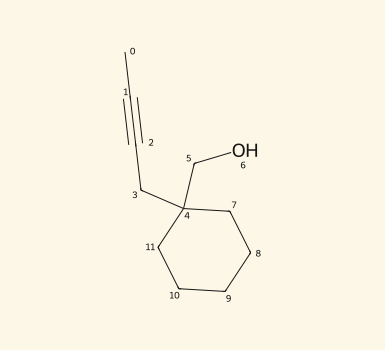 CC#CCC1(CO)CCCCC1